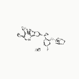 Cc1c(Cl)cnc2c3c(nn12)CN(C(=O)c1ccc(F)cc1OC1CC2CCC(C1)N2)C3.Cl